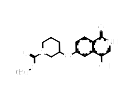 Cc1c[nH]c(=O)c2ccc(OC3CCCN(C(=O)OC(C)(C)C)C3)cc12